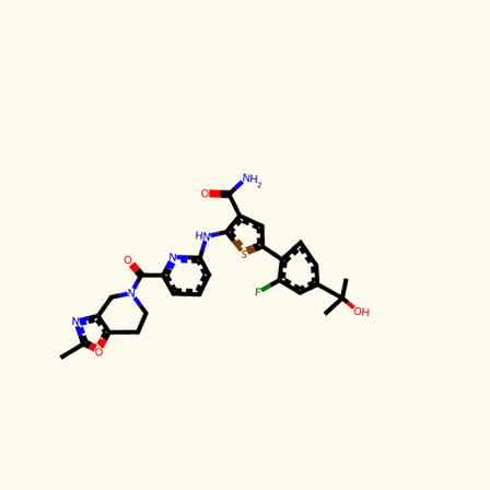 Cc1nc2c(o1)CCN(C(=O)c1cccc(Nc3sc(-c4ccc(C(C)(C)O)cc4F)cc3C(N)=O)n1)C2